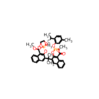 COC(=O)c1c(OPOc2cc(C)ccc2C(C)C)c(C(C)(C)c2cc3ccccc3c(C(=O)OC)c2OP2OCCO2)cc2ccccc12